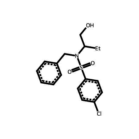 CCC(CO)N(Cc1ccccc1)S(=O)(=O)c1ccc(Cl)cc1